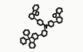 c1ccc(C2(c3ccccc3)c3ccccc3-c3cc(-c4cccc(N(c5ccc(-c6cccc7c6oc6ccccc67)cc5)c5ccc(-c6cccc7c6oc6ccccc67)cc5)c4)ccc32)cc1